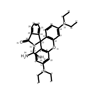 CCN(CC)c1ccc2c(c1)Oc1cc(N(CC)CC)ccc1C21c2ccccc2C(=O)N1C(N)N